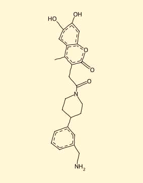 Cc1c(CC(=O)N2CCC(c3cccc(CN)c3)CC2)c(=O)oc2cc(O)c(O)cc12